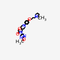 COc1ncc(N2CC3(CCN(c4ccc(OCCCN5CCC[C@H]5C)cc4)CC3)OCC2=O)cn1